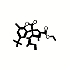 C=C/C(C)=C(C)\C(=C/C)C1(CC(=C)C(=O)OCC)C(=O)Oc2c(C)cc(C(C)(C)C)cc21